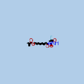 C=C(C)C(=O)OCCCCCCCC(=O)n1cc(F)c(=O)[nH]c1=O